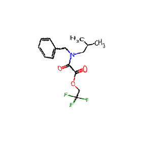 CC(C)CN(Cc1ccccc1)C(=O)C(=O)OCC(F)(F)F